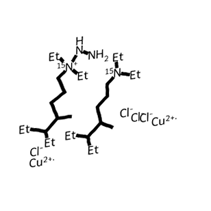 CCC(CC)C(C)CCC[15N+](CC)(CC)NN.CCC(CC)C(C)CCC[15N](CC)CC.[Cl-].[Cl-].[Cl-].[Cl-].[Cu+2].[Cu+2]